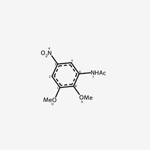 COc1cc([N+](=O)[O-])cc(NC(C)=O)c1OC